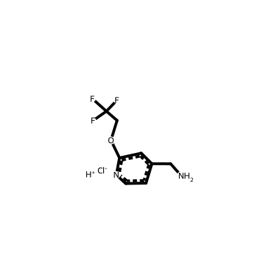 NCc1ccnc(OCC(F)(F)F)c1.[Cl-].[H+]